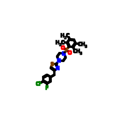 Cc1cc(C)c(C)c(S(=O)(=O)N2CCN(c3nc(Cc4ccc(Cl)c(F)c4)cs3)CC2)c1C